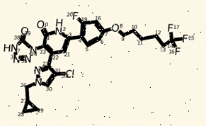 O=c1[nH]c(-c2ccc(OCCCCCC(F)(F)F)cc2F)cc(-c2nn(CC3CC3)cc2Cl)c1-n1nn[nH]c1=O